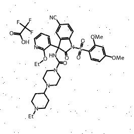 CCOc1ncccc1C1(NC(=O)N2CCN(C3CCN(CC)CC3)CC2)C(=O)N(S(=O)(=O)c2ccc(OC)cc2OC)c2ccc(C#N)cc21.O=C(O)C(F)(F)F